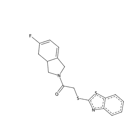 O=C(CSc1nc2ccccc2s1)N1CC2=CC=C(F)CC2C1